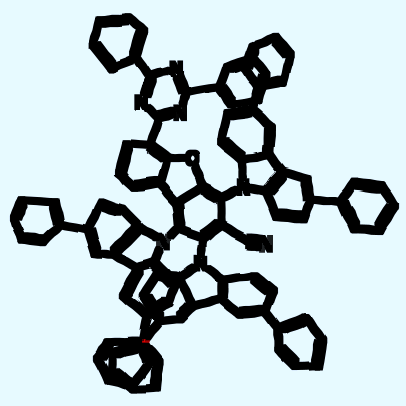 N#Cc1c(-n2c3ccc(-c4ccccc4)cc3c3cc(-c4ccccc4)ccc32)c(-n2c3ccc(-c4ccccc4)cc3c3cc(-c4ccccc4)ccc32)c2c(oc3c(-c4nc(-c5ccccc5)nc(-c5ccccc5)n4)cccc32)c1-n1c2ccc(-c3ccccc3)cc2c2cc(-c3ccccc3)ccc21